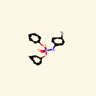 CCc1ccc(NP(=O)(Oc2ccccc2)Oc2ccccc2)cc1